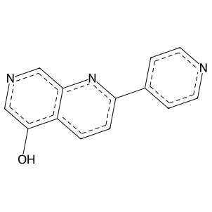 Oc1cncc2nc(-c3ccncc3)ccc12